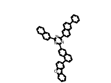 c1ccc(-c2ccc3cc(-c4nc(-c5ccc6ccccc6c5)nc(-c5ccc6c(-c7ccc8oc9ccccc9c8c7)cccc6c5)n4)ccc3c2)cc1